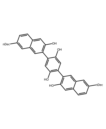 CCCCCCCCCCc1ccc2cc(O)c(-c3cc(O)c(-c4cc5cc(CCCCCCCCCC)ccc5cc4O)cc3O)cc2c1